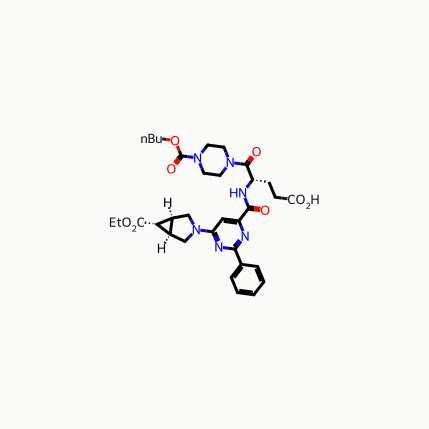 CCCCOC(=O)N1CCN(C(=O)[C@H](CCC(=O)O)NC(=O)c2cc(N3C[C@@H]4[C@H](C3)[C@H]4C(=O)OCC)nc(-c3ccccc3)n2)CC1